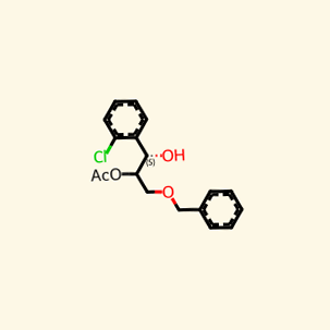 CC(=O)OC(COCc1ccccc1)[C@@H](O)c1ccccc1Cl